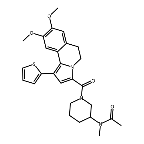 COc1cc2c(cc1OC)-c1c(-c3cccs3)cc(C(=O)N3CCCC(N(C)C(C)=O)C3)n1CC2